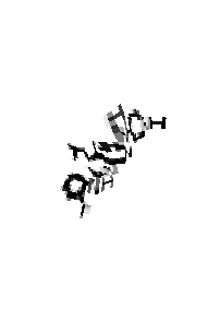 C/C(=N\c1cnc(NC2CCNCC2)nc1CCC(C)C)Nc1ccccc1F